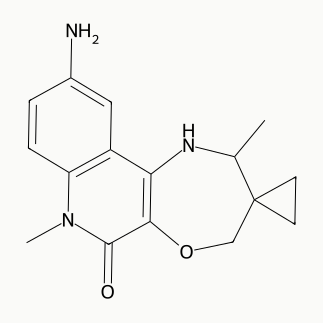 CC1Nc2c(c(=O)n(C)c3ccc(N)cc23)OCC12CC2